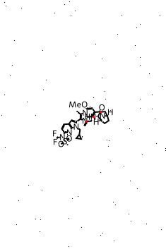 C=CCN[C@@H]1CC[C@@H]2CC[C@H]1N2C(=O)c1cc(OC)n2c(C)c(-c3cc4ccc(N(C(F)F)S(C)(=O)=O)nc4n3CC3CC3)nc2c1